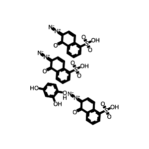 Oc1ccc(O)c(O)c1.[N-]=[N+]=C1C=Cc2c(cccc2S(=O)(=O)O)C1=O.[N-]=[N+]=C1C=Cc2c(cccc2S(=O)(=O)O)C1=O.[N-]=[N+]=C1C=Cc2c(cccc2S(=O)(=O)O)C1=O